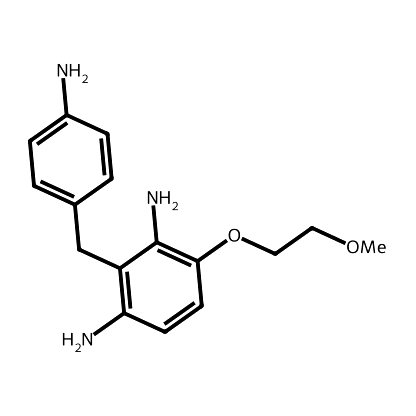 COCCOc1ccc(N)c(Cc2ccc(N)cc2)c1N